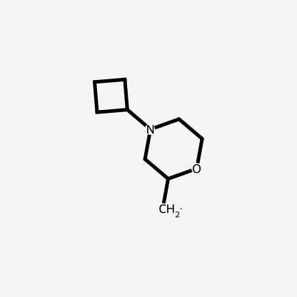 [CH2]C1CN(C2CCC2)CCO1